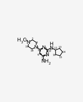 CN1CCN(c2cc(N)nc(NC3CCCC3)n2)CC1